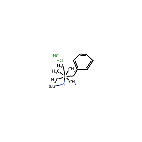 CC(C)(C)[NH][Ti]([CH3])([CH3])([CH3])([CH3])([CH3])[CH2]c1ccccc1.Cl.Cl